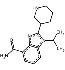 CC(C)n1c(C2CCCNC2)nc2c(C(N)=O)cccc21